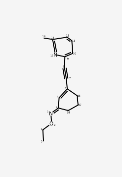 CCO/N=C1/C=C(C#Cc2cccc(C)n2)CCC1